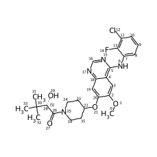 COc1cc2c(Nc3cccc(Cl)c3F)ncnc2cc1OC1CCN(C(=O)[C@@H](O)C(C)(C)C)CC1